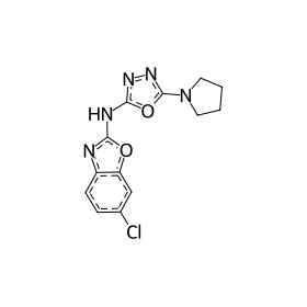 Clc1ccc2nc(Nc3nnc(N4CCCC4)o3)oc2c1